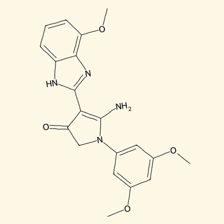 COc1cc(OC)cc(N2CC(=O)C(c3nc4c(OC)cccc4[nH]3)=C2N)c1